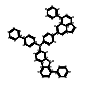 C1=Cc2cc(-c3ccc(N(c4ccc(-c5ccccc5)cc4)c4ccc5c(c4)oc4c(-c6ccccc6)cccc45)cc3)cc3c(-c4ccccc4)ccc1c23